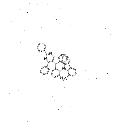 Nc1cccc2c3ccccc3n(-c3ccccc3C3c4ccccc4-c4nc(-c5ccccc5)nc(-c5ccccc5)c43)c12